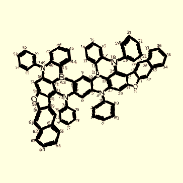 c1ccc(N2c3cc4c(cc3B3c5ccccc5N(c5ccccc5)c5c3c2cc2oc3cc6ccccc6cc3c52)B2c3ccccc3N(c3ccccc3)c3cc5oc6cc7ccccc7cc6c5c(c32)N4c2ccccc2)cc1